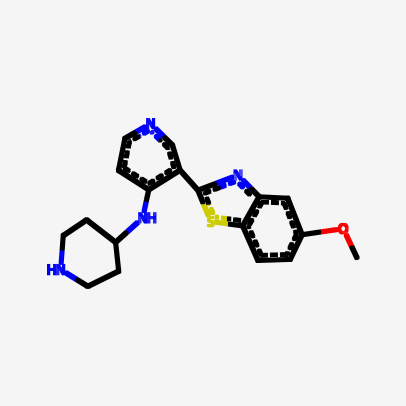 COc1ccc2sc(-c3cnccc3NC3CCNCC3)nc2c1